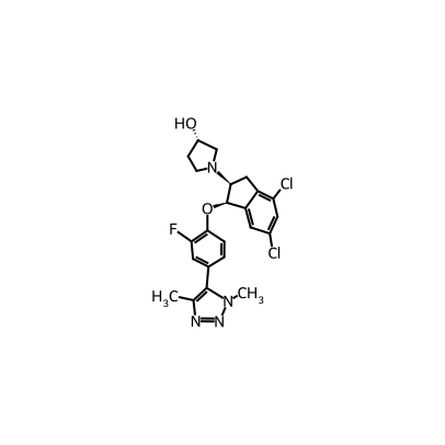 Cc1nnn(C)c1-c1ccc(O[C@@H]2c3cc(Cl)cc(Cl)c3C[C@@H]2N2CC[C@H](O)C2)c(F)c1